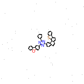 c1ccc(-c2nc(-c3ccc4oc5ccccc5c4c3)nc(-c3ccc4ccc5ccc6c7ccccc7sc6c5c4c3)n2)cc1